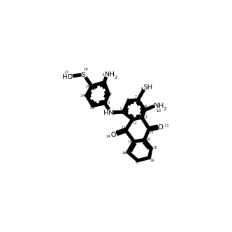 Nc1cc(Nc2cc(S)c(N)c3c2C(=O)C2=CCCC=C2C3=O)ccc1SO